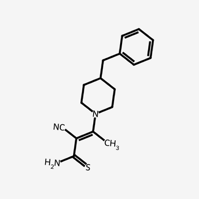 C/C(=C(/C#N)C(N)=S)N1CCC(Cc2ccccc2)CC1